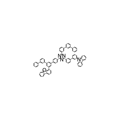 c1ccc(-c2cccc(-c3cccc(-c4nc(-c5ccc(-c6cc(-c7cccc(-c8ccccc8)c7)cc(-c7cccc8c7oc7ccccc78)c6)cc5)nc(-c5cccc(-c6cccc(-n7c8ccccc8c8ccccc87)c6)c5)n4)c3)c2)cc1